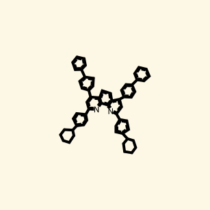 c1ccc(-c2ccc(-c3cc(-c4ccc(C5CCCCC5)cc4)nc4c3ccc3c(-c5ccc(-c6ccccc6)cc5)cc(-c5ccc(C6CCCCC6)cc5)nc34)cc2)cc1